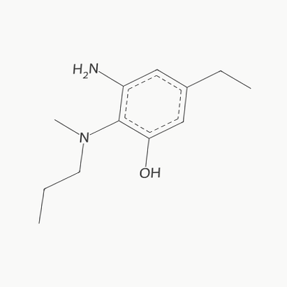 CCCN(C)c1c(N)cc(CC)cc1O